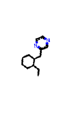 CCC1CCCCC1Cc1cnccn1